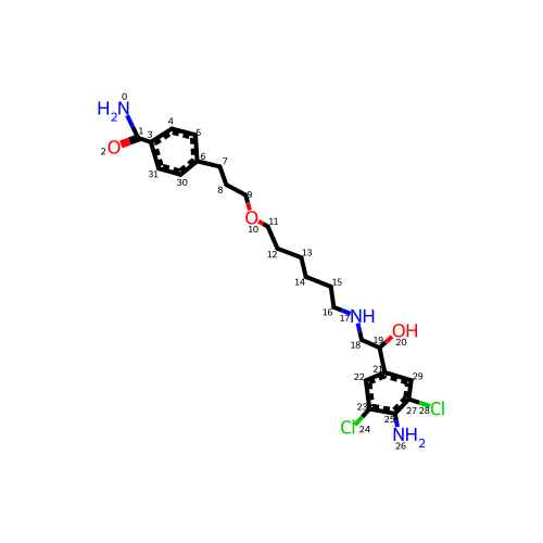 NC(=O)c1ccc(CCCOCCCCCCNCC(O)c2cc(Cl)c(N)c(Cl)c2)cc1